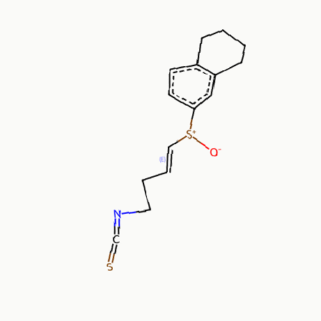 [O-][S+](/C=C/CCN=C=S)c1ccc2c(c1)CCCC2